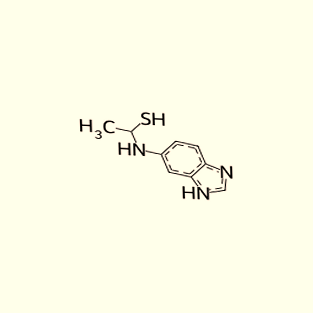 CC(S)Nc1ccc2nc[nH]c2c1